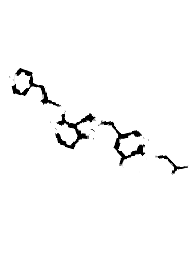 Cc1cc(Cn2cc3c(NC(=O)Cc4ccncc4)nccc3n2)cnc1OCC(F)F